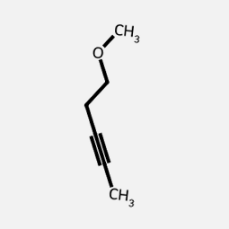 CC#CCCOC